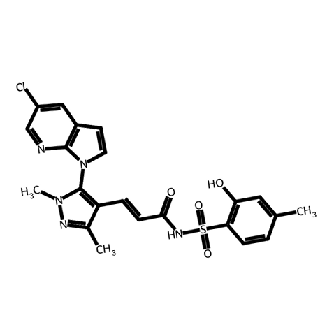 Cc1ccc(S(=O)(=O)NC(=O)C=Cc2c(C)nn(C)c2-n2ccc3cc(Cl)cnc32)c(O)c1